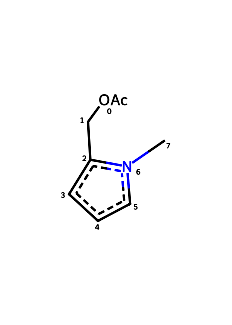 CC(=O)OCc1cccn1C